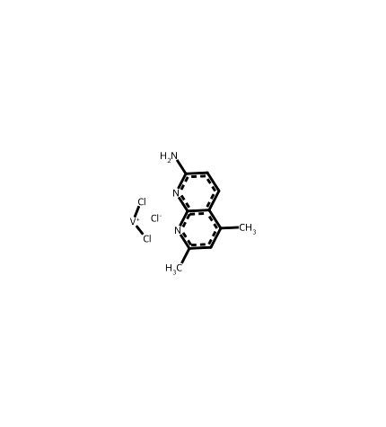 Cc1cc(C)c2ccc(N)nc2n1.[Cl-].[Cl][V+][Cl]